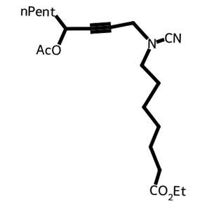 CCCCCC(C#CCN(C#N)CCCCCCC(=O)OCC)OC(C)=O